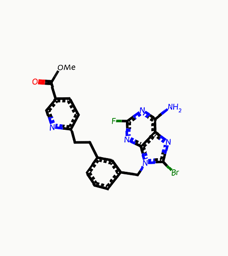 COC(=O)c1ccc(CCc2cccc(Cn3c(Br)nc4c(N)nc(F)nc43)c2)nc1